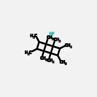 CC12C3(C)C4(C)C1(C)C1(C)C2(C)C3(C)C41C.F